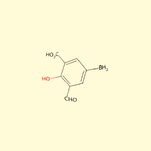 Bc1cc(C=O)c(O)c(C(=O)O)c1